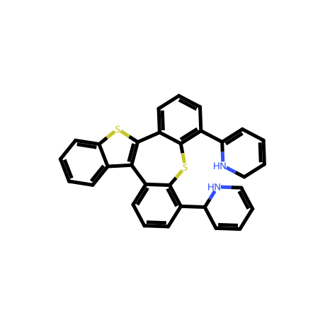 C1=CCNC(c2cccc3c2Sc2c(cccc2C2C=CC=CN2)-c2c-3sc3ccccc23)=C1